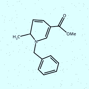 COC(=O)C1=CN(Cc2ccccc2)C(C)C=C1